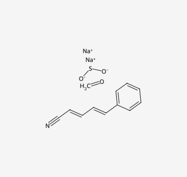 C=O.N#CC=CC=Cc1ccccc1.[Na+].[Na+].[O-]S[O-]